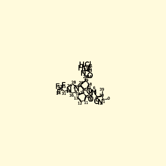 Cc1noc(N(C)S(=O)(=O)c2ccccc2-c2ccc(-c3ncco3)cc2N2CCN(CC(F)(F)F)CC2)c1C.Cl.Cl